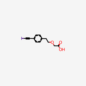 O=C(O)COCCc1ccc(C#CI)cc1